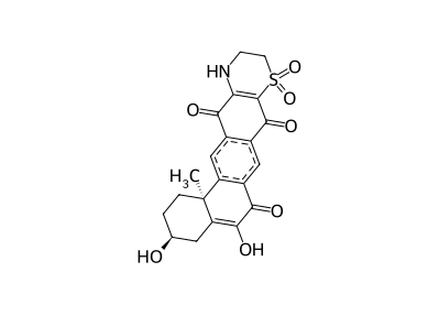 C[C@@]12CC[C@H](O)CC1=C(O)C(=O)c1cc3c(cc12)C(=O)C1=C(C3=O)S(=O)(=O)CCN1